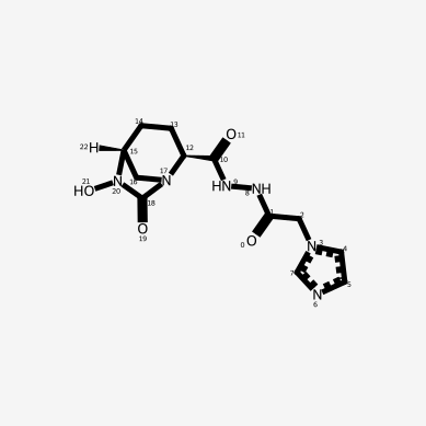 O=C(Cn1ccnc1)NNC(=O)[C@@H]1CC[C@@H]2CN1C(=O)N2O